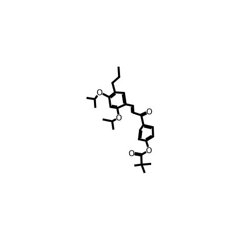 CCCc1cc(C=CC(=O)c2ccc(OC(=O)C(C)(C)C)cc2)c(OC(C)C)cc1OC(C)C